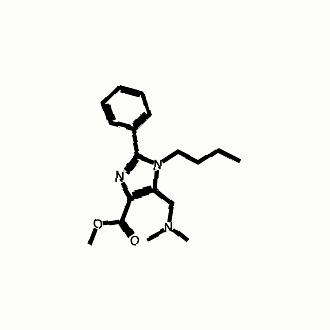 CCCCn1c(-c2ccccc2)nc(C(=O)OC)c1CN(C)C